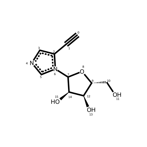 C#Cc1cncn1C1O[C@H](CO)[C@@H](O)[C@H]1O